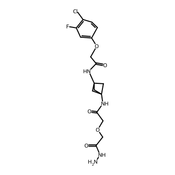 NNC(=O)COCC(=O)NC12CC(NC(=O)COc3ccc(Cl)c(F)c3)(C1)C2